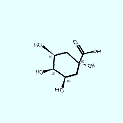 O=C(O)[C@@]1(O)C[C@@H](O)[C@@H](O)[C@@H](O)C1